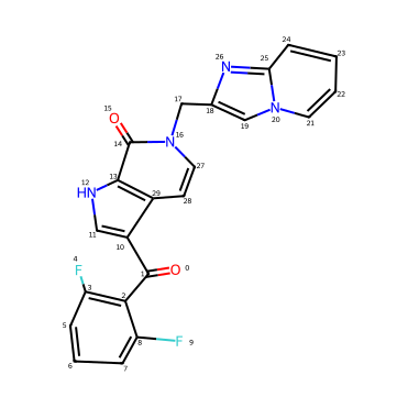 O=C(c1c(F)cccc1F)c1c[nH]c2c(=O)n(Cc3cn4ccccc4n3)ccc12